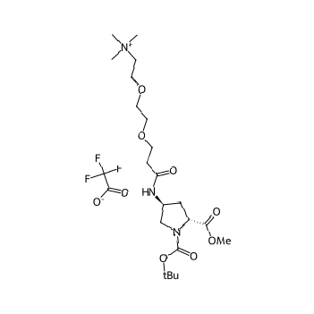 COC(=O)[C@H]1C[C@H](NC(=O)CCOCCOCC[N+](C)(C)C)CN1C(=O)OC(C)(C)C.O=C([O-])C(F)(F)F